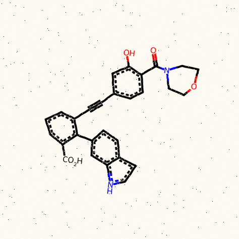 O=C(O)c1cccc(C#Cc2ccc(C(=O)N3CCOCC3)c(O)c2)c1-c1ccc2cc[nH]c2c1